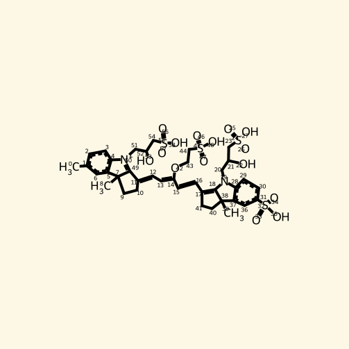 Cc1ccc2c(c1)C1(C)CC\C(=C/C=C(/C=C/C3=C4N(CC(O)CS(=O)(=O)O)c5ccc(S(=O)(=O)O)cc5C4(C)CC3)OCCS(=O)(=O)O)C1=[N+]2CC(O)CS(=O)(=O)O